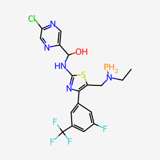 CCN(P)Cc1sc(NC(O)c2cnc(Cl)cn2)nc1-c1cc(F)cc(C(F)(F)F)c1